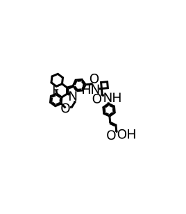 O=C(O)C=Cc1ccc(NC(=O)C2(NC(=O)c3ccc4c(C5CCCCC5)c5n(c4c3)CCOc3cccc(F)c3-5)CCC2)cc1